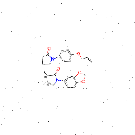 C=CCOc1ccc(N2CCCC2=O)cc1.C[C@H]1CN(c2ccc3c(c2)OCO3)C(=O)[C@@H]1C